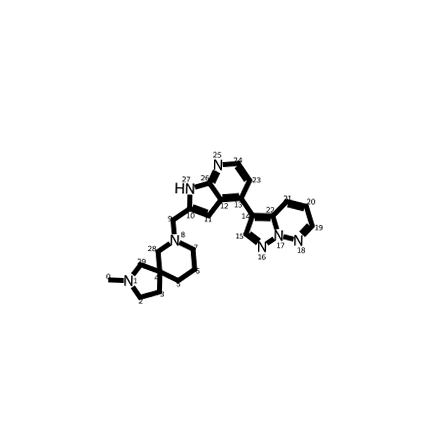 CN1CCC2(CCCN(Cc3cc4c(-c5cnn6ncccc56)ccnc4[nH]3)C2)C1